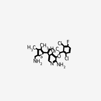 Cc1c(CN)sc(-c2coc3c(O[C@H](C)c4c(Cl)ccc(F)c4Cl)c(N)ncc23)c1C